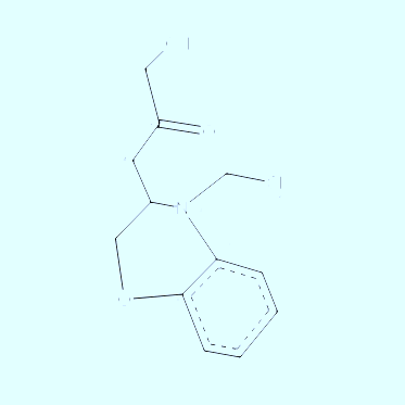 CCC(=O)CC1COc2ccccc2N1CC